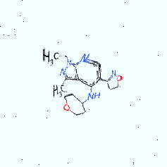 CCn1nc(C)c2c(NC3CCOCC3)c(C3=NO[C]C3)cnc21